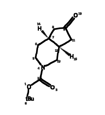 CC(C)(C)OC(=O)N1CC[C@H]2CC(=O)C[C@H]2C1